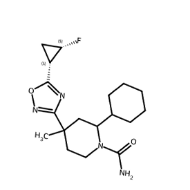 CC1(c2noc([C@@H]3C[C@@H]3F)n2)CCN(C(N)=O)C(C2CCCCC2)C1